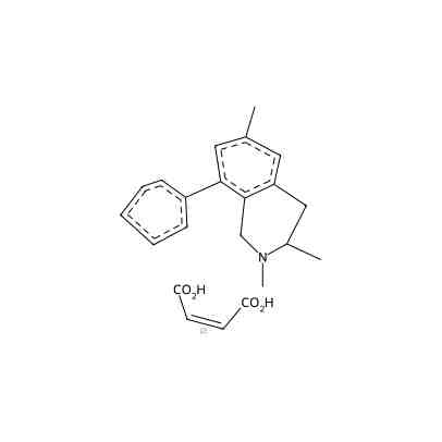 Cc1cc2c(c(-c3ccccc3)c1)CN(C)C(C)C2.O=C(O)/C=C\C(=O)O